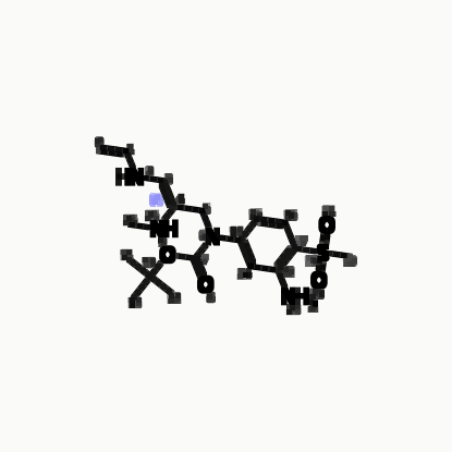 C=CN/C=C(/CN(C(=O)OC(C)(C)C)c1ccc(S(C)(=O)=O)c(N)c1)NC